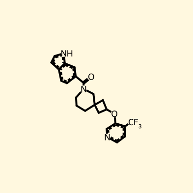 O=C(c1ccc2cc[nH]c2c1)N1CCCC2(CC(Oc3cnccc3C(F)(F)F)C2)C1